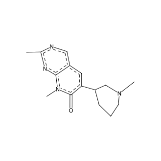 Cc1ncc2cc(C3CCCN(C)C3)c(=O)n(C)c2n1